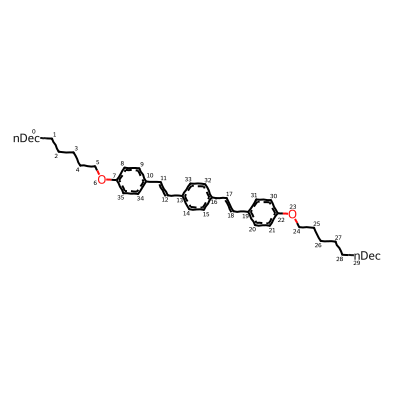 CCCCCCCCCCCCCCCOc1ccc(/C=C/c2ccc(/C=C/c3ccc(OCCCCCCCCCCCCCCC)cc3)cc2)cc1